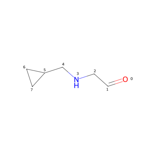 O=CCNCC1CC1